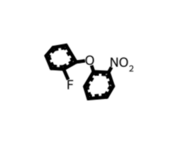 O=[N+]([O-])c1ccccc1Oc1ccccc1F